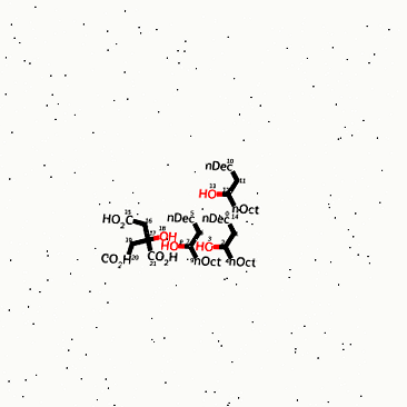 CCCCCCCCCCCC(O)CCCCCCCC.CCCCCCCCCCCC(O)CCCCCCCC.CCCCCCCCCCCC(O)CCCCCCCC.O=C(O)CC(O)(CC(=O)O)C(=O)O